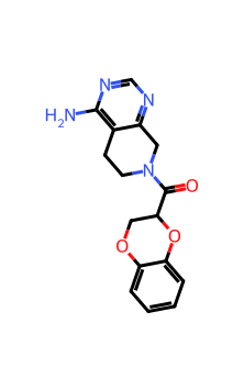 Nc1ncnc2c1CCN(C(=O)C1COc3ccccc3O1)C2